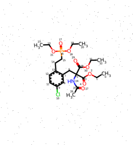 CCOC(=O)C(Cc1cc(Cl)ccc1CCP(=O)(OCC)OCC)(NC(C)=O)C(=O)OCC